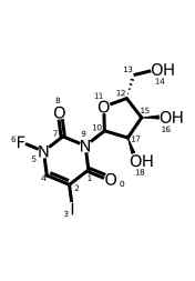 O=c1c(I)cn(F)c(=O)n1C1O[C@H](CO)[C@@H](O)[C@H]1O